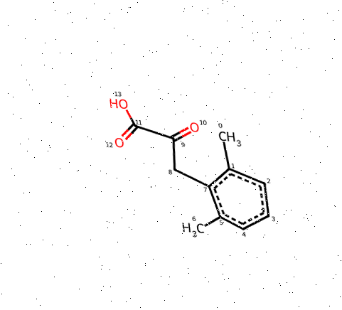 Cc1cccc(C)c1CC(=O)C(=O)O